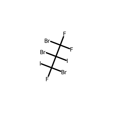 FC(F)(Br)C(Br)(I)C(F)(Br)I